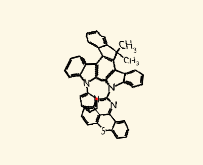 CC1(C)c2ccccc2-c2c1c1c3ccccc3n(-c3nc4c5c(cccc5n3)Sc3ccccc3-4)c1c1c2c2ccccc2n1-c1ccccc1